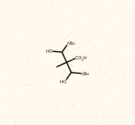 CCCCC(O)C(C)(C(=O)O)C(O)CCCC